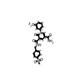 CS(=O)(=O)c1ccc(CNC(=O)c2cc(C(N)=O)cn(-c3cccc(C(F)(F)F)c3)c2=O)cc1